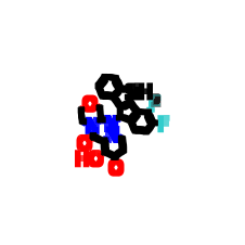 O=C1c2c(O)c(=O)ccn2N(C2C3=C([SiH2]c4ccccc43)c3c2ccc(F)c3F)C2COCCN12